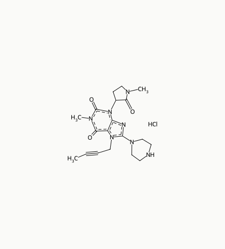 CC#CCn1c(N2CCNCC2)nc2c1c(=O)n(C)c(=O)n2C1CCN(C)C1=O.Cl